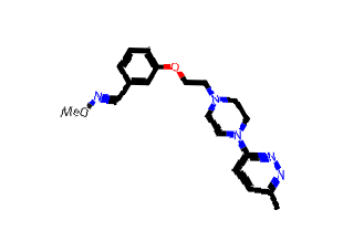 CON=Cc1cccc(OCCN2CCN(c3ccc(C)nn3)CC2)c1